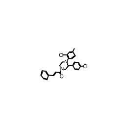 Cc1ccc(N2CCN(C(=O)/C=C/c3ccccc3)CC2c2ccc(Cl)cc2)c(Cl)c1